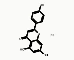 O=c1cc(-c2ccc(O)cc2)oc2cc(O)cc(O)c12.[Na]